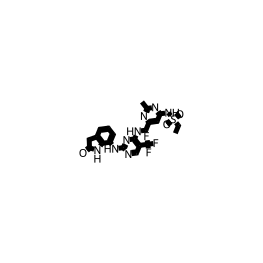 CCS(=O)(=O)Nc1cc(CNc2nc(Nc3cccc4c3NC(=O)C4)ncc2C(F)(F)F)nc(C)n1